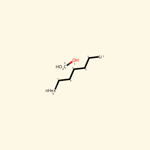 O=C(O)O.[Li][CH2]CCCCCCCCCC